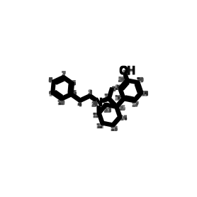 CC1N(CCc2ccccc2)C2CCCC1(c1cccc(O)c1)C2